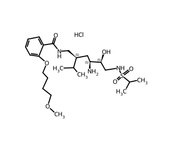 COCCCCOc1ccccc1C(=O)NC[C@@H](C[C@H](N)[C@@H](O)CNS(=O)(=O)C(C)C)C(C)C.Cl